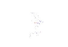 Cc1ccc(C2(c3cccc(C(=O)N(C)C)c3)NC(=N)N(Cc3cccc(C(=O)N(C)Cc4ccc(Cl)cc4)c3)C2=O)cc1